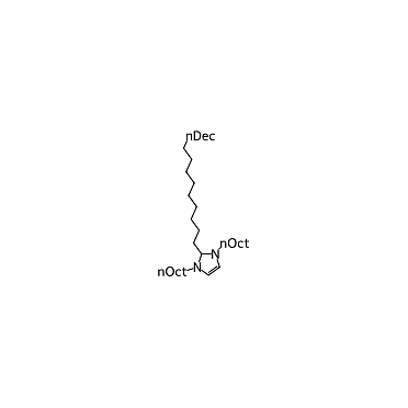 CCCCCCCCCCCCCCCCCCCC1N(CCCCCCCC)C=CN1CCCCCCCC